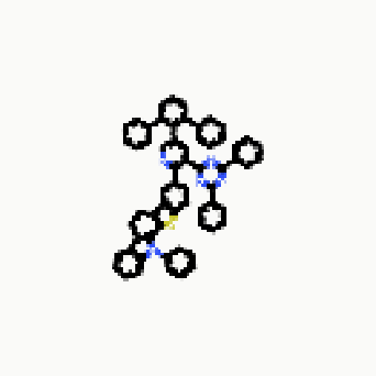 c1ccc(-c2nc(-c3ccccc3)nc(-c3cc(-c4c(-c5ccccc5)cccc4-c4ccccc4)cnc3-c3ccc4sc5c(ccc6c7ccccc7n(-c7ccccc7)c65)c4c3)n2)cc1